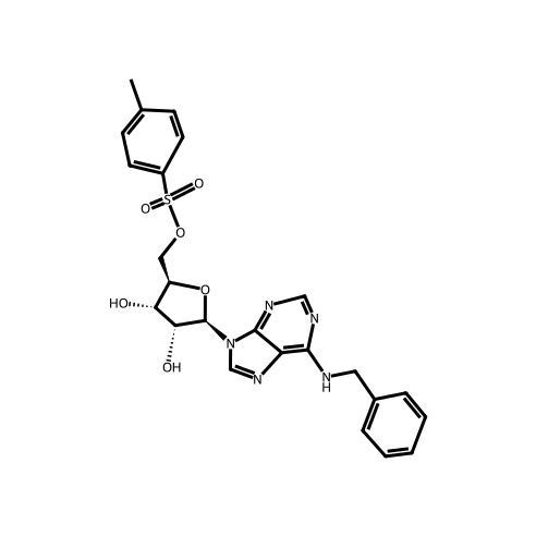 Cc1ccc(S(=O)(=O)OC[C@H]2O[C@@H](n3cnc4c(NCc5ccccc5)ncnc43)[C@H](O)[C@@H]2O)cc1